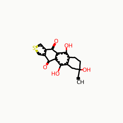 C#CC1(O)CCc2c(O)c3c(c(O)c2C1)C(=O)c1cscc1C3=O